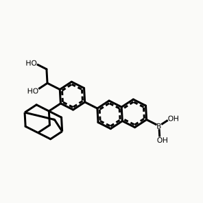 OCC(O)c1ccc(-c2ccc3cc(B(O)O)ccc3c2)cc1C12CC3CC(CC(C3)C1)C2